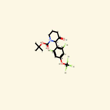 CC(C)(C)OC(=O)N1CCCC(=O)C1c1c(F)cc(OC(F)(F)F)cc1F